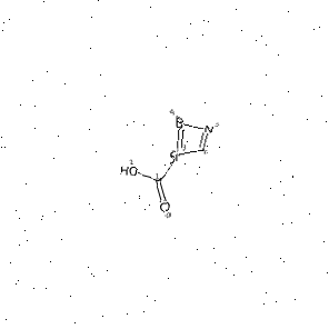 O=C(O)[Si]1=BN=C1